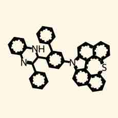 c1ccc(C2=Nc3ccccc3NC2c2ccc(-n3c4ccc5cccc6sc7cccc8ccc3c(c87)c4c56)cc2-c2ccccc2)cc1